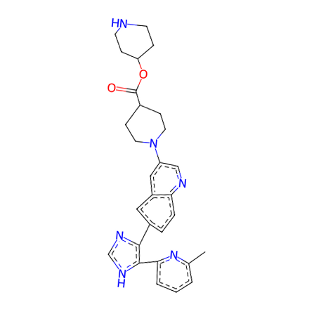 Cc1cccc(-c2[nH]cnc2-c2ccc3ncc(N4CCC(C(=O)OC5CCNCC5)CC4)cc3c2)n1